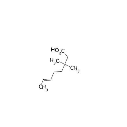 CC=CCCC(C)(C)CC(=O)O